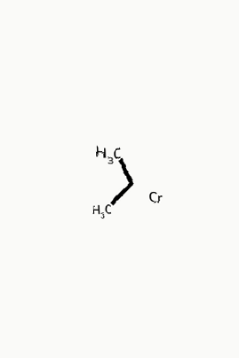 CCC.[Cr]